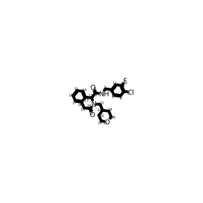 O=C(NCc1ccc(Cl)c(F)c1)C1c2ccccc2CC(=O)N1CC1CCOCC1